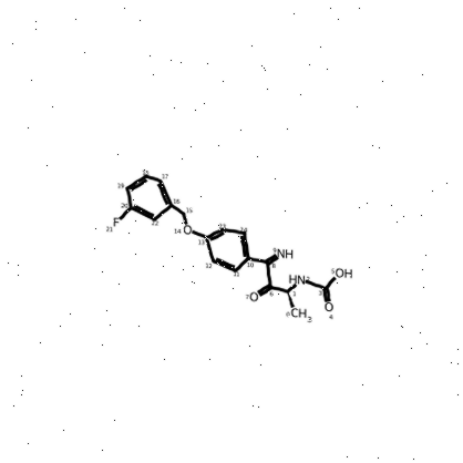 C[C@H](NC(=O)O)C(=O)C(=N)c1ccc(OCc2cccc(F)c2)cc1